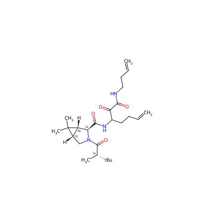 C=CCCNC(=O)C(=O)C(CCC=C)NC(=O)[C@@H]1[C@@H]2[C@H](CN1C(=O)[C@@H](C)C(C)(C)C)C2(C)C